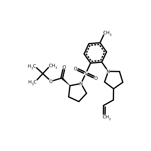 C=CCC1CCN(c2cc(C)ccc2S(=O)(=O)N2CCC[C@H]2C(=O)OC(C)(C)C)C1